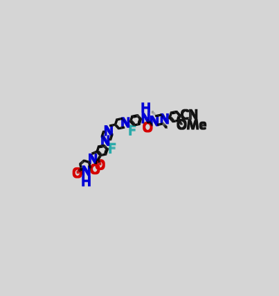 COc1cc(N2C[C@@H](C)N(C(=O)Nc3ccc(N4CCC(CN5CCN(c6cc7c(cc6F)C(=O)N(C6CCC(=O)NC6=O)C7)CC5)CC4)c(F)c3)C[C@@H]2C)ccc1C#N